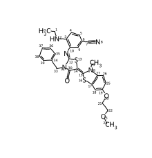 CCNc1ccc(C#N)cc1N=C1SC(=C2Sc3cc(OCCOC)ccc3N2C)C(=O)N1Cc1ccccc1